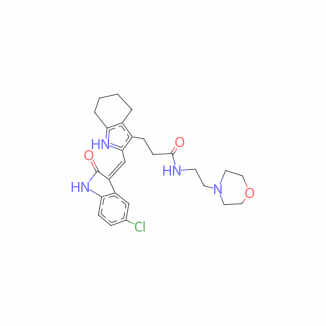 O=C(CCc1c(C=C2C(=O)Nc3ccc(Cl)cc32)[nH]c2c1CCCC2)NCCN1CCOCC1